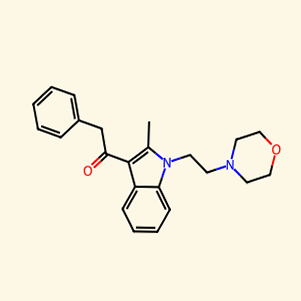 Cc1c(C(=O)Cc2ccccc2)c2ccccc2n1CCN1CCOCC1